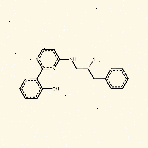 N[C@@H](CNc1ccnc(-c2ccccc2O)n1)Cc1ccccc1